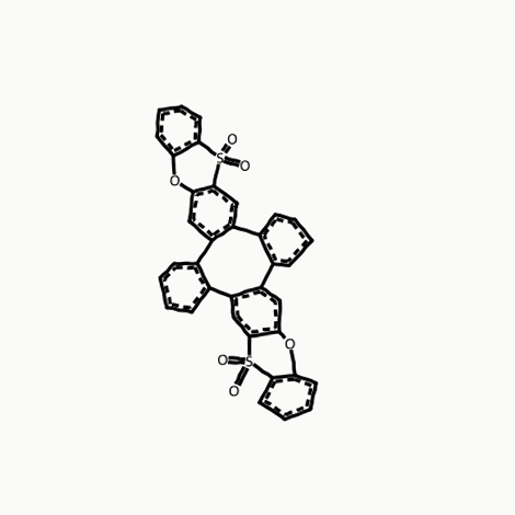 O=S1(=O)c2ccccc2Oc2cc3c(cc21)-c1ccccc1-c1cc2c(cc1-c1ccccc1-3)S(=O)(=O)c1ccccc1O2